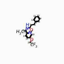 C[C@@H](NC(=O)CCc1ccccc1)c1ccc(OCC(F)(F)F)cn1